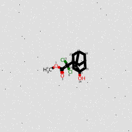 COC(=O)C(Cl)(Cl)C12CC3CC(CC(O)(C3)C1)C2